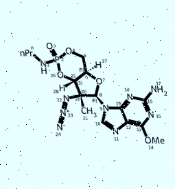 CCCNP1(=O)OC[C@H]2O[C@@H](n3cnc4c(OC)nc(N)nc43)[C@](C)(N=[N+]=[N-])[C@@H]2O1